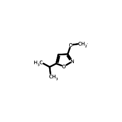 [CH2]Oc1cc(C(C)C)on1